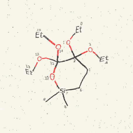 CCOC1(OCC)CC[Si](C)(C)OC1(OCC)OCC